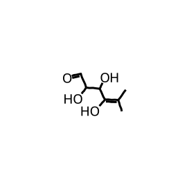 CC(C)=C(O)C(O)C(O)C=O